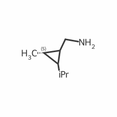 CC(C)C1C(CN)[C@H]1C